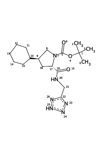 CC(C)(C)OC(=O)N1C[C@H](C2CCCCC2)C[C@H]1C(=O)NCc1nn[nH]n1